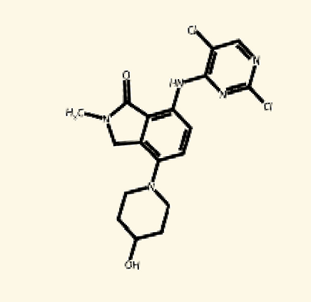 CN1Cc2c(N3CCC(O)CC3)ccc(Nc3nc(Cl)ncc3Cl)c2C1=O